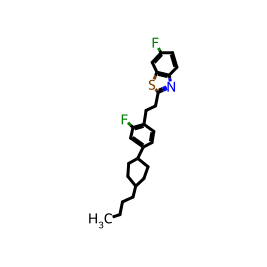 CCCCC1CCC(c2ccc(CCc3nc4ccc(F)cc4s3)c(F)c2)CC1